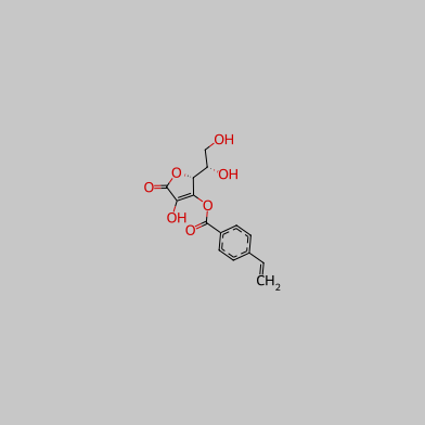 C=Cc1ccc(C(=O)OC2=C(O)C(=O)O[C@@H]2[C@@H](O)CO)cc1